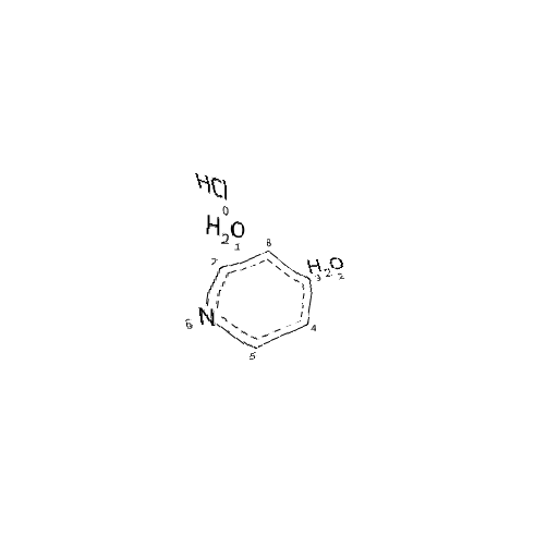 Cl.O.O.c1ccncc1